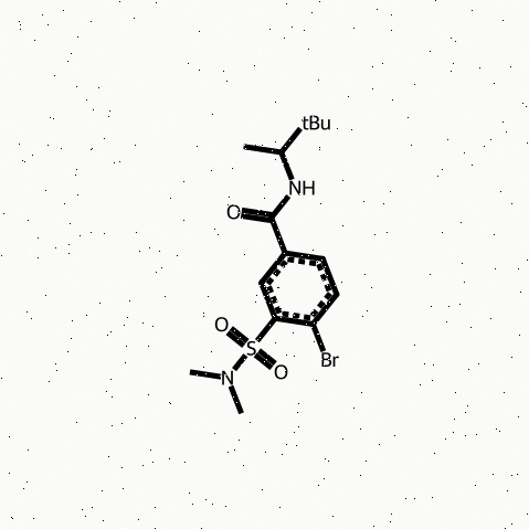 CC(NC(=O)c1ccc(Br)c(S(=O)(=O)N(C)C)c1)C(C)(C)C